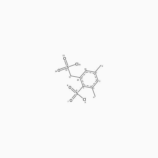 Cc1cc(C)c(S(=O)(=O)Cl)c(CS(=O)(=O)Cl)c1